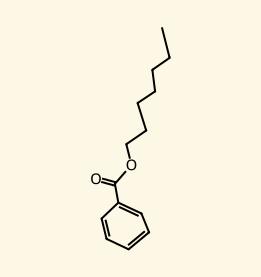 CCCCCCCOC(=O)c1ccccc1